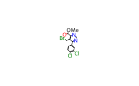 COC(=O)c1ncnc(-c2ccc(Cl)c(Cl)c2)c1CBr